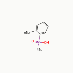 CCCCc1ccccc1P(=O)(O)CCCC